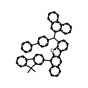 CC1(C)c2ccccc2-c2ccc(-c3c4ccccc4cc4c3oc3c(C(c5ccc(-c6ccccc6)cc5)c5cc6ccccc6c6ccccc56)cccc34)cc21